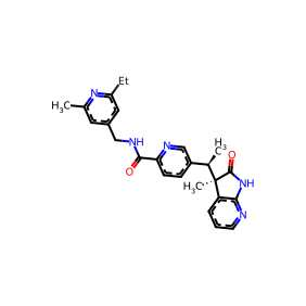 CCc1cc(CNC(=O)c2ccc([C@@H](C)[C@@]3(C)C(=O)Nc4ncccc43)cn2)cc(C)n1